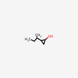 CC[C@@H](C)C1CC1O